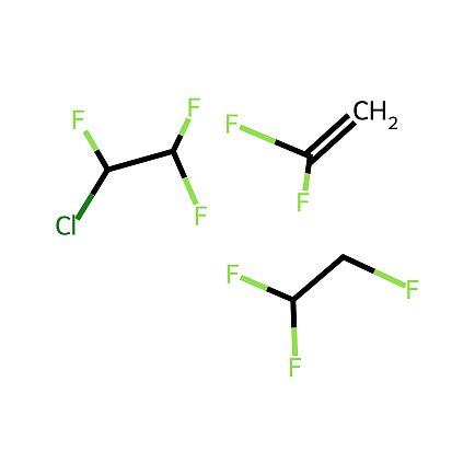 C=C(F)F.FC(F)C(F)Cl.FCC(F)F